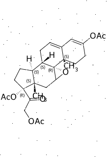 CC(=O)OCC(=O)[C@@]1(OC(C)=O)CC[C@H]2[C@@H]3CC=C4C=C(OC(C)=O)CC[C@]4(C)[C@]34OC4C[C@@]21C